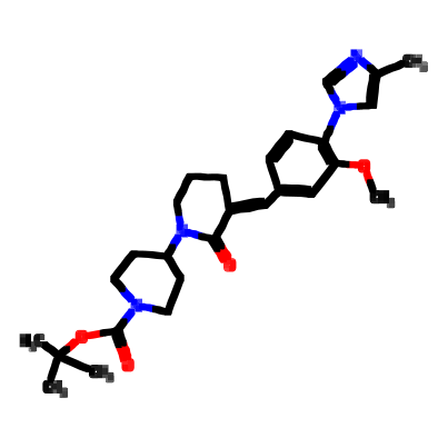 COc1cc(/C=C2\CCCN(C3CCN(C(=O)OC(C)(C)C)CC3)C2=O)ccc1-n1cnc(C)c1